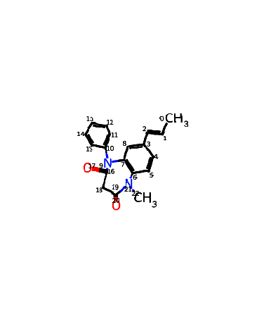 CC=Cc1ccc2c(c1)N(c1ccccc1)C(=O)CC(=O)N2C